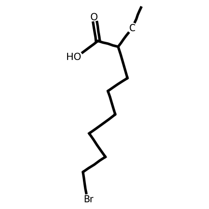 CCC(CCCCCCBr)C(=O)O